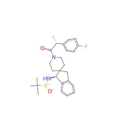 C[C@@H](C(=O)N1CCC2(CC1)Cc1ccccc1[C@H]2N[S@+]([O-])C(C)(C)C)c1ccc(F)cc1